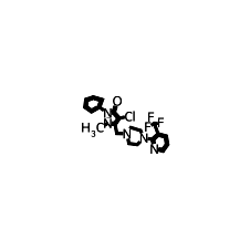 Cn1c(CN2CCN(c3ncccc3C(F)(F)F)CC2)c(Cl)c(=O)n1-c1ccccc1